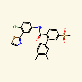 Cc1ccc(-c2cc(S(C)(=O)=O)ccc2C(=O)Nc2ccc(Cl)c(-c3nccs3)c2)cc1C